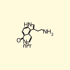 CCCn1ccc2c(ccc3[nH]cc(CCN)c32)c1=O